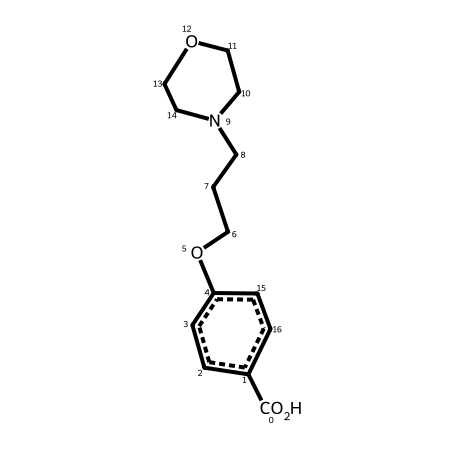 O=C(O)c1ccc(OCCCN2CCOCC2)cc1